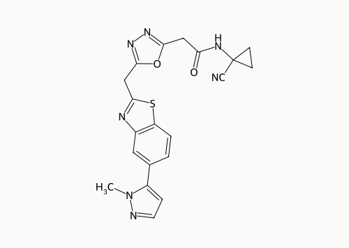 Cn1nccc1-c1ccc2sc(Cc3nnc(CC(=O)NC4(C#N)CC4)o3)nc2c1